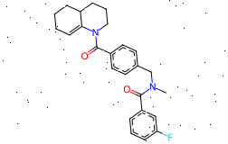 CN(Cc1ccc(C(=O)N2CCCC3CCCC=C32)cc1)C(=O)c1cccc(F)c1